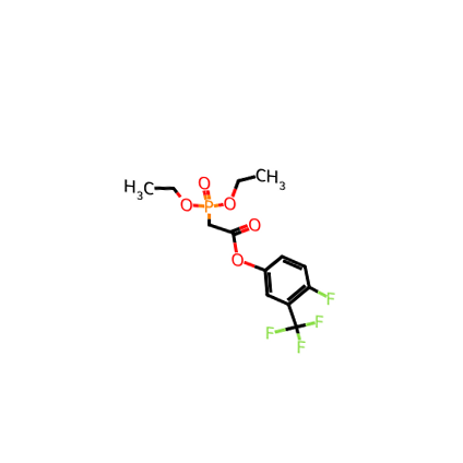 CCOP(=O)(CC(=O)Oc1ccc(F)c(C(F)(F)F)c1)OCC